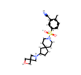 Cc1ccc(S(=O)(=O)N2CCC3(CCC(N4CC5(COC5)C4)C3)CC2)cc1C#N